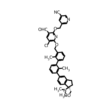 Cc1c(COc2nc(OCc3cncc(C#N)c3)c(C=O)cc2Cl)cccc1-c1cccc(-c2ccc3c(c2)CC[C@@]3(CO)N(C)C)c1C